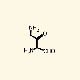 NCC(=O)C(N)[C]=O